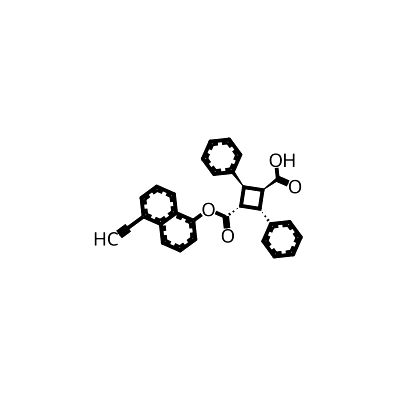 C#Cc1cccc2c(OC(=O)[C@H]3[C@@H](c4ccccc4)[C@H](C(=O)O)[C@@H]3c3ccccc3)cccc12